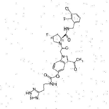 CC(=O)c1cn(CC(=O)N2C[C@H](F)C[C@H]2C(=O)NCc2cccc(Cl)c2F)c2ccc(OC(=O)NCCc3nn[nH]n3)cc12